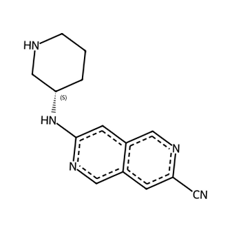 N#Cc1cc2cnc(N[C@H]3CCCNC3)cc2cn1